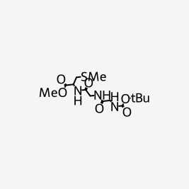 COC(=O)C(CSC)NC(=O)CNC(=O)CNC(=O)OC(C)(C)C